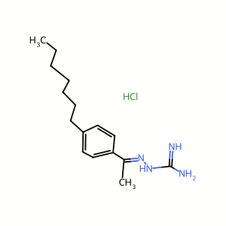 CCCCCCCc1ccc(C(C)=NNC(=N)N)cc1.Cl